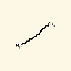 CCCCCC#CCCCCCCCCCCC